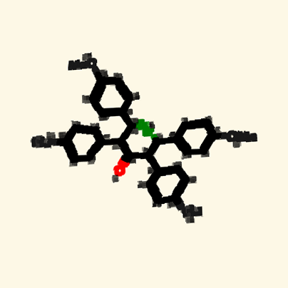 COc1ccc(C(Br)C(C(=O)C(c2ccc(C(C)(C)C)cc2)C(Br)c2ccc(OC)cc2)c2ccc(C(C)(C)C)cc2)cc1